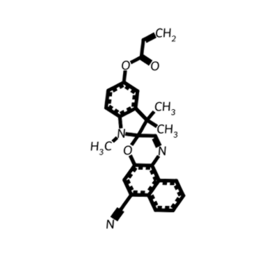 C=CC(=O)Oc1ccc2c(c1)C(C)(C)C1(C=Nc3c(cc(C#N)c4ccccc34)O1)N2C